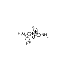 CN1CC2(CCC(F)(F)CC2)c2cc(NC(=O)c3ccc(N)cc3N3CCC4(CC3)CC4)ccc21